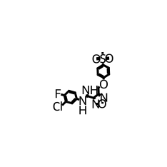 CS(=O)(=O)c1ccc(OCc2nonc2C(=N)Nc2ccc(F)c(Cl)c2)cc1